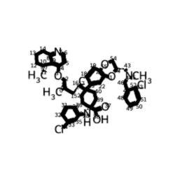 C[C@@H](COc1ccnc2c1[C@H](C)CCC2)C[C@H]1Cc2cc3c(cc2C12CCC(Nc1cccc(Cl)c1)(C(=O)O)CC2)O[C@@H](CN(C)Cc1ccccc1Cl)CO3